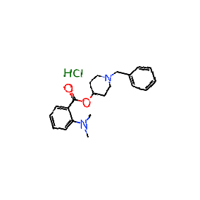 CN(C)c1ccccc1C(=O)OC1CCN(Cc2ccccc2)CC1.Cl